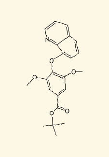 COc1cc(C(=O)OC(C)(C)C)cc(OC)c1Oc1cccc2cccnc12